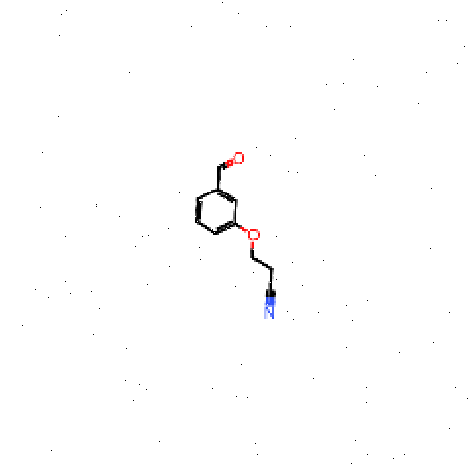 N#CCCOc1cccc(C=O)c1